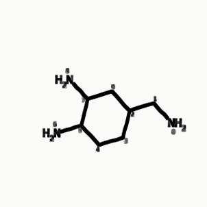 NCC1CCC(N)C(N)C1